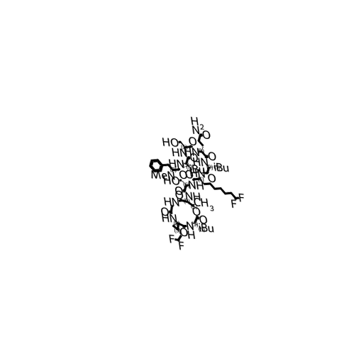 CC[C@H](C)[C@H](NC(=O)[C@@H](Cc1ccccc1)NC)C(=O)N[C@@H](CO)C(=O)N[C@H](CCC(N)=O)C(=O)N[C@@H](C(=O)N[C@@H](CCCCCCC(F)F)C(=O)N[C@@H](CO)C(=O)N[C@H]1C(=O)NCC(=O)N[C@@]2(C[C@H]2CC(F)F)C(=O)N[C@@H]([C@@H](C)CC)C(=O)O[C@H]1C)[C@@H](C)CC